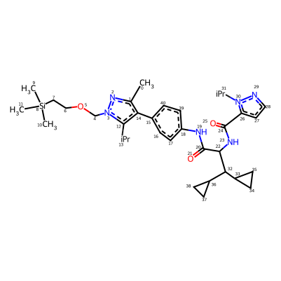 Cc1nn(COCC[Si](C)(C)C)c(C(C)C)c1-c1ccc(NC(=O)C(NC(=O)c2ccnn2C(C)C)C(C2CC2)C2CC2)cc1